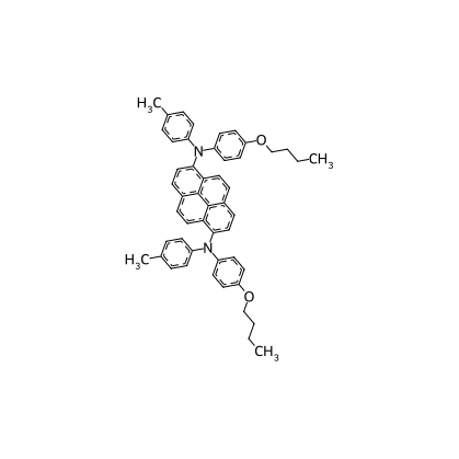 CCCCOc1ccc(N(c2ccc(C)cc2)c2ccc3ccc4c(N(c5ccc(C)cc5)c5ccc(OCCCC)cc5)ccc5ccc2c3c54)cc1